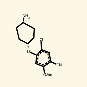 COc1cc(O[C@H]2CC[C@H](N)CC2)c(Cl)cc1C#N